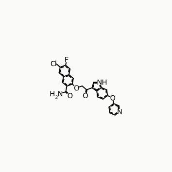 NC(=O)c1cc2cc(Cl)c(F)cc2cc1OCC(=O)c1c[nH]c2cc(Oc3cccnc3)ccc12